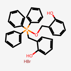 Br.Oc1ccccc1COP(Cc1ccccc1O)(c1ccccc1)(c1ccccc1)c1ccccc1